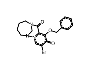 O=C1c2c(OCc3ccccc3)c(=O)c(Br)cn2N2CCCCN1C2